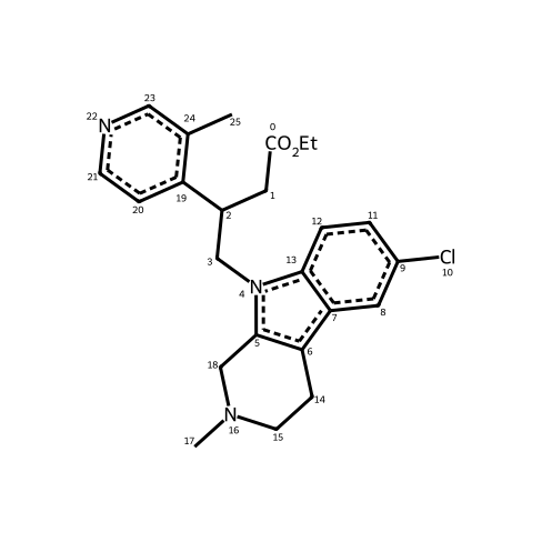 CCOC(=O)CC(Cn1c2c(c3cc(Cl)ccc31)CCN(C)C2)c1ccncc1C